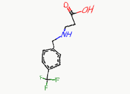 O=C(O)CCNCc1ccc(C(F)(F)F)cc1